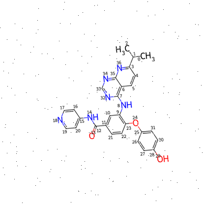 CC(C)c1ccc2c(Nc3cc(C(=O)Nc4ccncc4)ccc3Oc3ccc(O)cc3)ncnc2n1